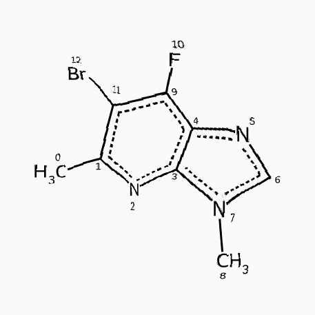 Cc1nc2c(ncn2C)c(F)c1Br